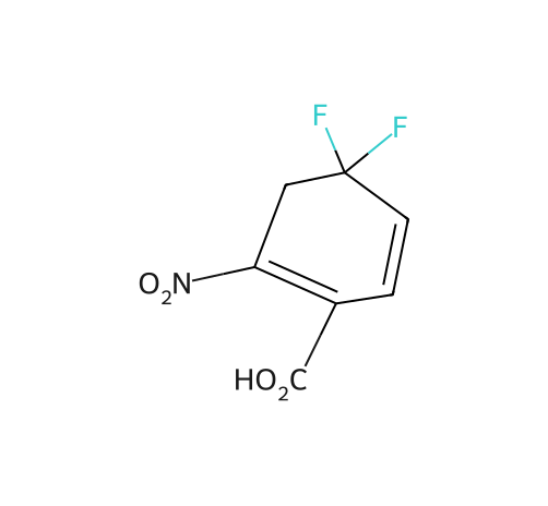 O=C(O)C1=C([N+](=O)[O-])CC(F)(F)C=C1